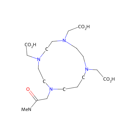 CNC(=O)CN1CCCN(CC(=O)O)CCN(CC(=O)O)CCN(CC(=O)O)CC1